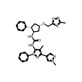 Cc1noc(CO[C@@H]2C[C@@H](NC(=O)Nc3c(C)c(-c4cnn(C)c4)nn3-c3ccccc3)[C@H](c3ccccc3)C2)n1